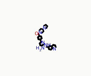 Nc1ccc(-c2ccc(C(=O)N3CCC(N4CCCC4)CC3)cc2)nc1NCc1ccc2ncccc2c1